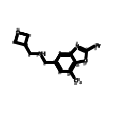 CC(C)c1nc2cc(CNCC3COC3)cc(C(F)(F)F)c2o1